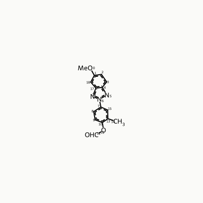 COc1ccc2nn(-c3ccc(OC=O)c(C)c3)nc2c1